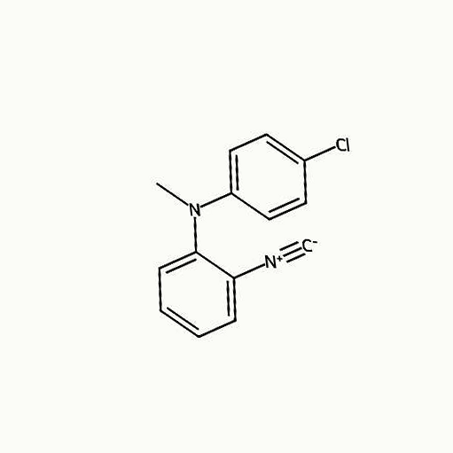 [C-]#[N+]c1ccccc1N(C)c1ccc(Cl)cc1